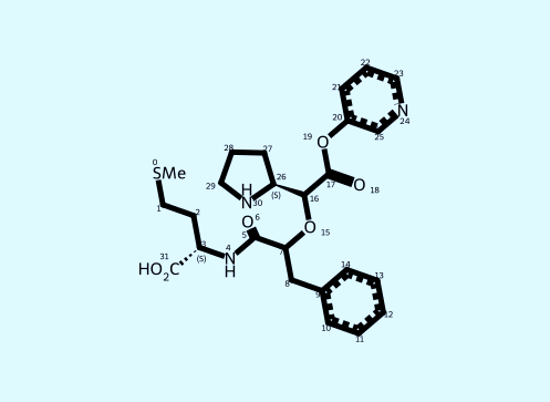 CSCC[C@H](NC(=O)C(Cc1ccccc1)OC(C(=O)Oc1cccnc1)[C@@H]1CCCN1)C(=O)O